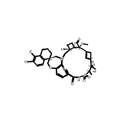 CO[C@@]1(C=O)C2=C[C@@H](C2)[C@H](C)[C@@H](C)S(=O)(=O)NC(=O)c2ccc3c(n2)N(C[C@@H]2CC[C@H]21)C[C@@]1(CCCc2c1ccc(Cl)c2F)CO3